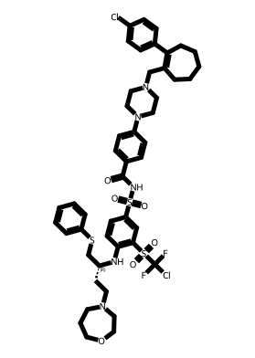 O=C(NS(=O)(=O)c1ccc(N[C@H](CCN2CCCOCC2)CSc2ccccc2)c(S(=O)(=O)C(F)(F)Cl)c1)c1ccc(N2CCN(CC3=C(c4ccc(Cl)cc4)CCCCC3)CC2)cc1